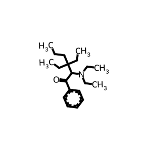 CCCC(CC)(CC)C(C(=O)c1ccccc1)N(CC)CC